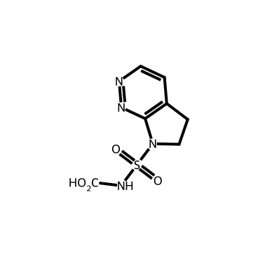 O=C(O)NS(=O)(=O)N1CCc2ccnnc21